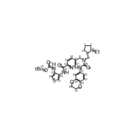 CCN1CCCC1CN(Cc1ccc(C(=O)Nc2cscc2NC(=O)OC(C)(C)C)nc1)C(=O)Nc1ccc2c(c1)OCCO2